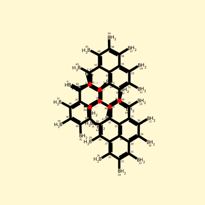 B=C(/C(B)=C(B)\C(=C(\B)C)c1c(B)c(B)c2c(B)c(B)c3c(B)c(B)c(B)c4c(B)c(B)c1c2c34)c1c(B)c(B)c(B)c(B)c1-c1c(B)c(B)c2c(B)c(B)c3c(B)c(B)c(B)c4c(B)c(B)c1c2c34